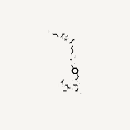 C[C@H](CS)NC(=O)[C@@H](CC(=O)O)NC(=O)[C@@H](CC(=O)O)NC(=O)Cc1ccc(CNC(=O)NCCCC[C@H](NC(=O)N[C@@H](CCC(=O)O)C(=O)O)C(=O)O)cc1